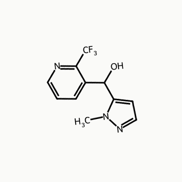 Cn1nccc1C(O)c1cccnc1C(F)(F)F